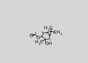 CC1(O)CC2C(CC1OC=O)C2(C)C